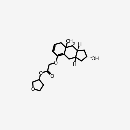 CC12CC=CC(OCC(=O)O[C@H]3CCOC3)=C1C[C@H]1C[C@@H](O)C[C@H]1C2